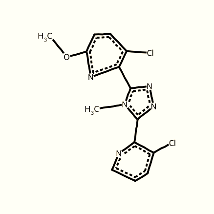 COc1ccc(Cl)c(-c2nnc(-c3ncccc3Cl)n2C)n1